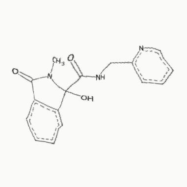 CN1C(=O)c2ccccc2C1(O)C(=O)NCc1ccccn1